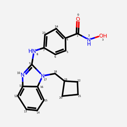 O=C(NO)c1ccc(Nc2nc3ccccc3n2CC2CCC2)cc1